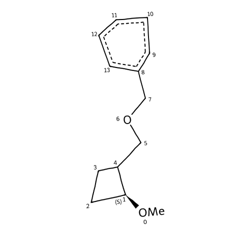 CO[C@H]1CCC1COCc1ccccc1